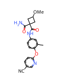 COC1CC(C(N)=O)(C(=O)Nc2ccc(Oc3ccc(C#N)cn3)c(C)c2)C1